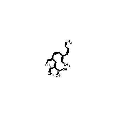 C=C\C=C/C(/C=C\C(=C\C)\C=C(/C=C)B(O)O)=C\C